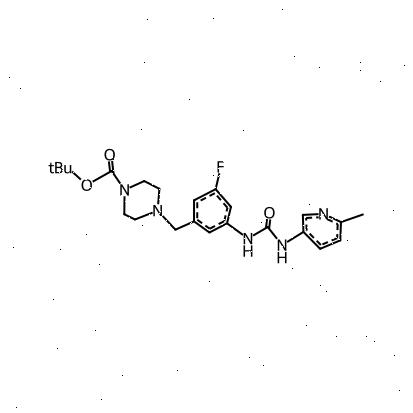 Cc1ccc(NC(=O)Nc2cc(F)cc(CN3CCN(C(=O)OC(C)(C)C)CC3)c2)cn1